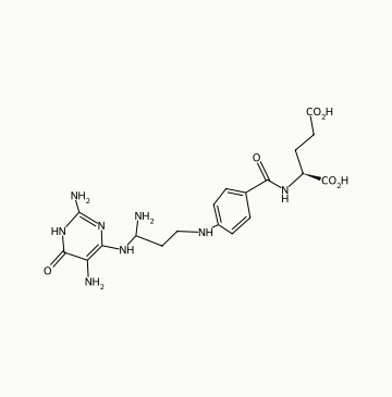 Nc1nc(NC(N)CCNc2ccc(C(=O)N[C@@H](CCC(=O)O)C(=O)O)cc2)c(N)c(=O)[nH]1